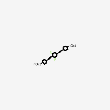 CCCCCCCCc1ccc(C#Cc2cc(F)c(C#Cc3ccc(CCCCCCCC)cc3)c(F)c2)cc1